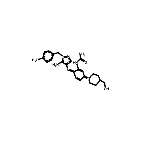 Cc1ccc(Cn2ncc(/N=C3/C=CC(=[N+]4CCC(CO)CC4)C=C3NC(N)=O)c2N)cc1